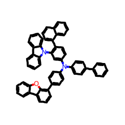 c1ccc(-c2ccc(N(c3ccc(-c4cccc5c4oc4ccccc45)cc3)c3ccc(-c4cccc5ccccc45)c(-n4c5ccccc5c5ccccc54)c3)cc2)cc1